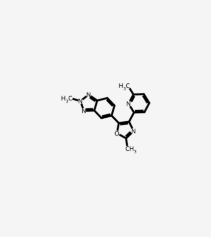 Cc1cccc(-c2nc(C)oc2-c2ccc3nn(C)nc3c2)n1